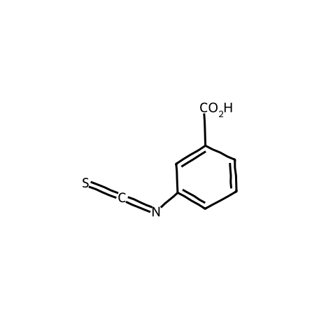 O=C(O)c1cccc(N=C=S)c1